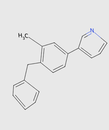 Cc1cc(-c2cccnc2)ccc1Cc1ccccc1